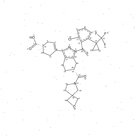 O=C(O)[C@@H]1CC=C(c2nn(C(=O)c3c(Cl)cccc3C3(C(F)(F)F)CC3)c3c2CC[C@@H](C(=O)N2CCC4(COC4)C2)C3)CC1